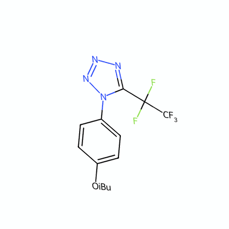 CC(C)COc1ccc(-n2nnnc2C(F)(F)C(F)(F)F)cc1